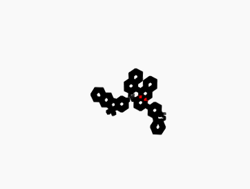 CC1(C)c2ccc(N(c3ccc(-c4ccc5sc6ccccc6c5c4)cc3)c3ccc4ccccc4c3-c3cccc4ccccc34)cc2-c2cc3ccccc3cc21